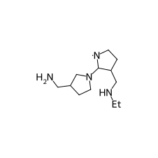 CCNCC1CC[N]C1N1CCC(CN)C1